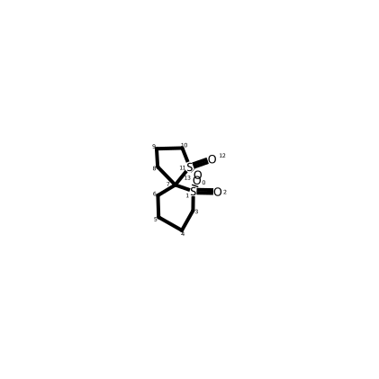 O=S1(=O)CCCCC12CCCS2(=O)=O